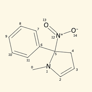 CN1C=CCC1(c1ccccc1)[N+](=O)[O-]